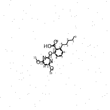 CCCCCc1cccc(Oc2nc(OC)cc(OC)n2)c1C(=O)O